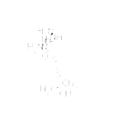 C=C(C)C(C)CSCCSCC(CC(=O)NN)C(=O)NN